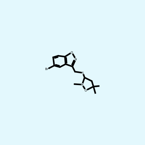 CN1OC(C)(C)CC1SCc1noc2ccc(Br)cc12